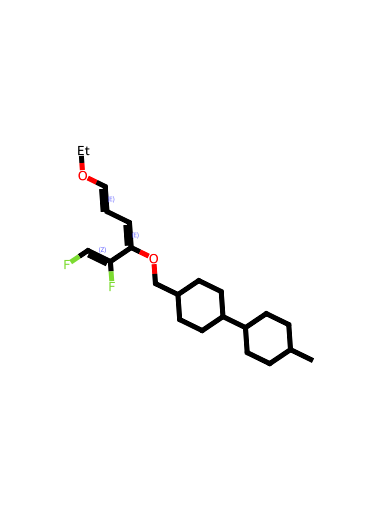 CCO/C=C/C=C(OCC1CCC(C2CCC(C)CC2)CC1)\C(F)=C\F